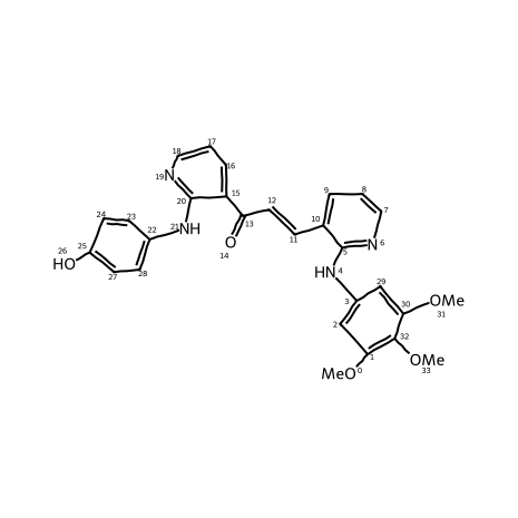 COc1cc(Nc2ncccc2/C=C/C(=O)c2cccnc2Nc2ccc(O)cc2)cc(OC)c1OC